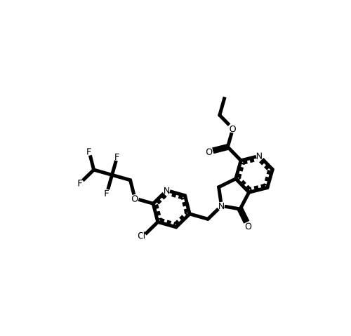 CCOC(=O)c1nccc2c1CN(Cc1cnc(OCC(F)(F)C(F)F)c(Cl)c1)C2=O